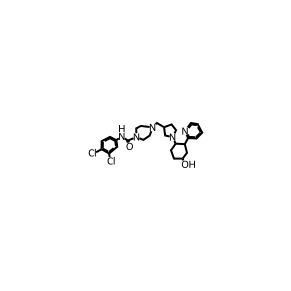 O=C(Nc1ccc(Cl)c(Cl)c1)N1CCN(CC2CCN(C3CCC(O)CC3c3ccccn3)C2)CC1